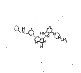 CN1CCN(c2cncc3[nH]c(-c4n[nH]c5ncc(-c6cncc(CNCC7CCCC7)c6)cc45)nc23)CC1